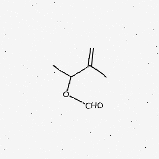 C=C(C)C(C)OC=O